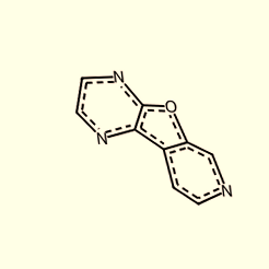 c1cc2c(cn1)oc1nccnc12